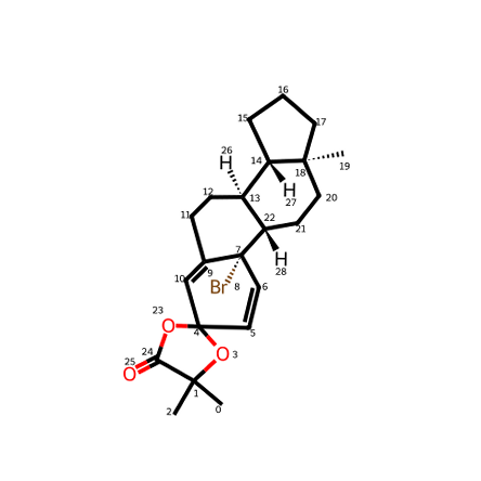 CC1(C)OC2(C=C[C@@]3(Br)C(=C2)CC[C@H]2[C@@H]4CCC[C@@]4(C)CC[C@@H]23)OC1=O